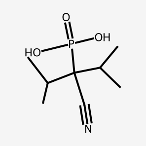 CC(C)C(C#N)(C(C)C)P(=O)(O)O